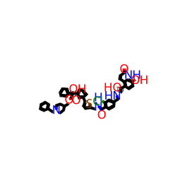 O=C(NCc1ccc(-c2cccc([C@](O)(C(=O)OCC3CCN(Cc4ccccc4)CC3)c3ccccc3)c2)s1)c1ccc(CNC[C@H](O)c2ccc(O)c3[nH]c(=O)ccc23)cc1Cl